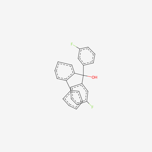 OC(c1cccc(F)c1)(c1cccc(F)c1)c1ccccc1-c1ccccc1